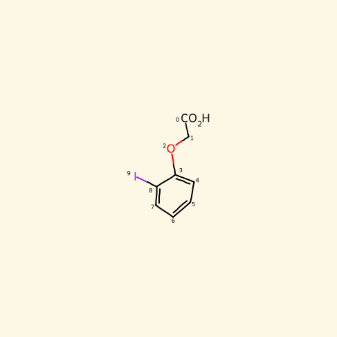 O=C(O)COc1ccccc1I